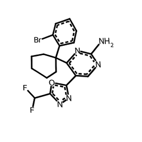 Nc1ncc(-c2nnc(C(F)F)o2)c(C2(c3ccccc3Br)CCCCC2)n1